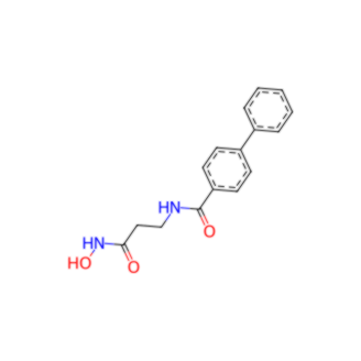 O=C(CCNC(=O)c1ccc(-c2ccccc2)cc1)NO